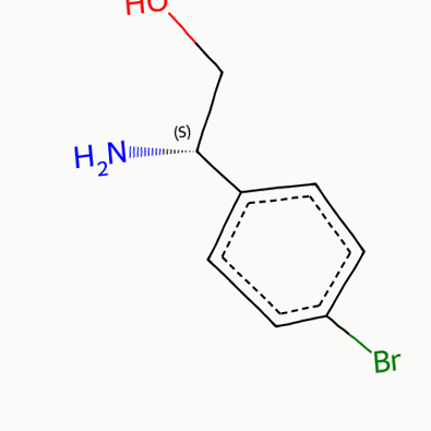 N[C@H](CO)c1ccc(Br)cc1